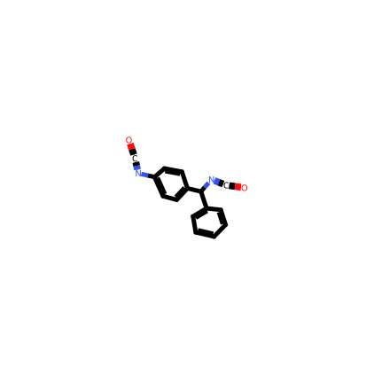 O=C=Nc1ccc(C(N=C=O)c2ccccc2)cc1